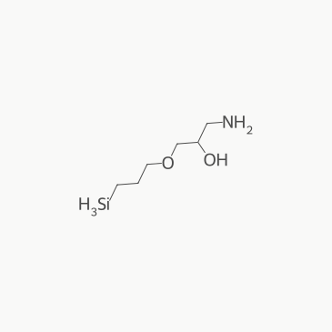 NCC(O)COCCC[SiH3]